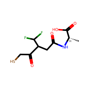 C[C@H](NC(=O)CC(C(=O)CS)C(F)F)C(=O)O